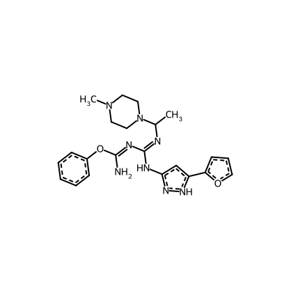 CC(/N=C(\N=C(/N)Oc1ccccc1)Nc1cc(-c2ccco2)[nH]n1)N1CCN(C)CC1